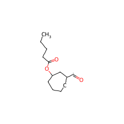 CCCCC(=O)OC1CCCCC([C]=O)C1